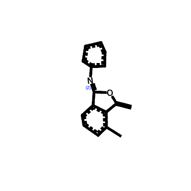 C=C1O/C(=N\c2ccccc2)c2cccc(C)c21